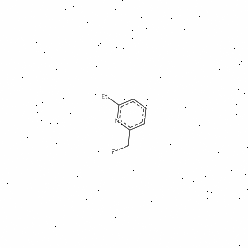 CCc1cccc(CF)n1